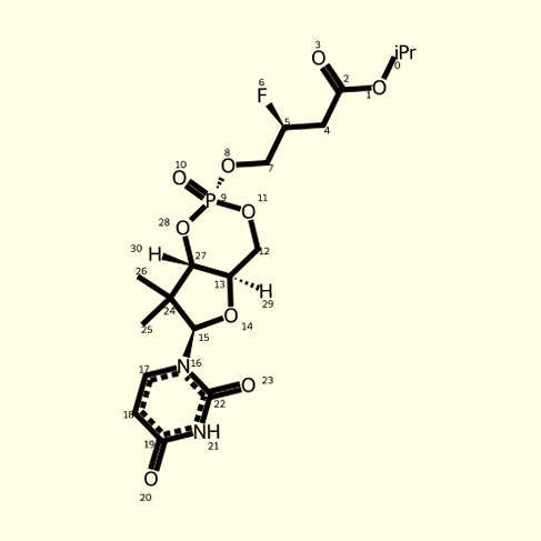 CC(C)OC(=O)C[C@H](F)CO[P@]1(=O)OC[C@H]2O[C@@H](n3ccc(=O)[nH]c3=O)C(C)(C)[C@@H]2O1